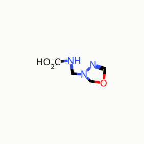 O=C(O)NCN1COC=N1